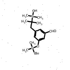 CC(C)(Cc1cc(C=O)cc(O[Si](C)(C)C(C)(C)C)c1)[Si](C)(C)O